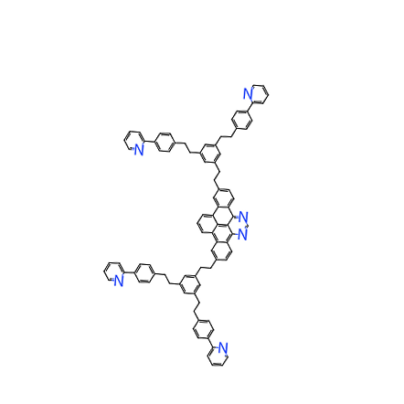 c1ccc(-c2ccc(CCc3cc(CCc4ccc(-c5ccccn5)cc4)cc(CCc4ccc5c(c4)c4cccc6c7cc(CCc8cc(CCc9ccc(-c%10ccccn%10)cc9)cc(CCc9ccc(-c%10ccccn%10)cc9)c8)ccc7c7ncnc5c7c46)c3)cc2)nc1